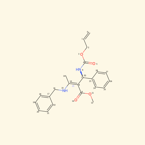 C=CCOC(=O)N[C@H](/C(C(=O)OC)=C(\C)NCc1ccccc1)c1ccccc1